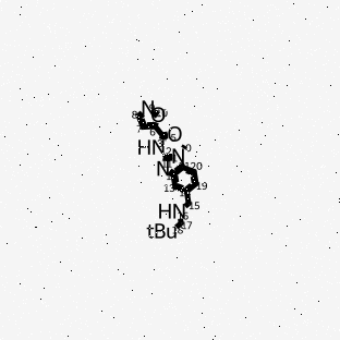 Cn1c(NC(=O)c2ccno2)nc2cc(CNCC(C)(C)C)ccc21